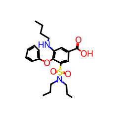 CCCCNc1cc(C(=O)O)cc(S(=O)(=O)N(CCC)CCC)c1Oc1ccccc1